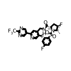 C[C@H]1[C@H](F)C[C@@H](C(=O)NCc2cc(-c3cnc(C(F)(F)F)nc3)ncc2F)N1S(=O)(=O)c1ccc(F)cc1